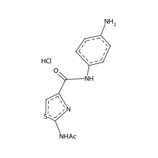 CC(=O)Nc1nc(C(=O)Nc2ccc(N)cc2)cs1.Cl